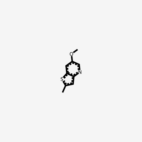 COc1cnc2cc(C)sc2c1